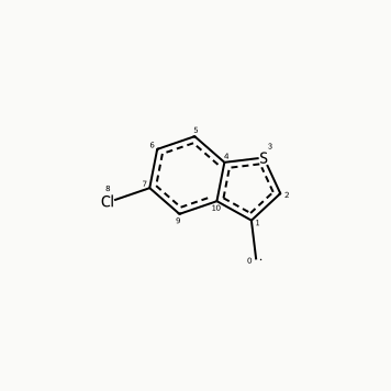 [CH2]c1csc2ccc(Cl)cc12